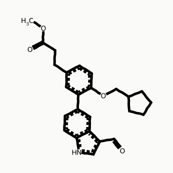 COC(=O)CCc1ccc(OCC2CCCC2)c(-c2ccc3[nH]cc(C=O)c3c2)c1